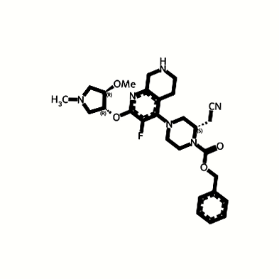 CO[C@@H]1CN(C)C[C@H]1Oc1nc2c(c(N3CCN(C(=O)OCc4ccccc4)[C@@H](CC#N)C3)c1F)CCNC2